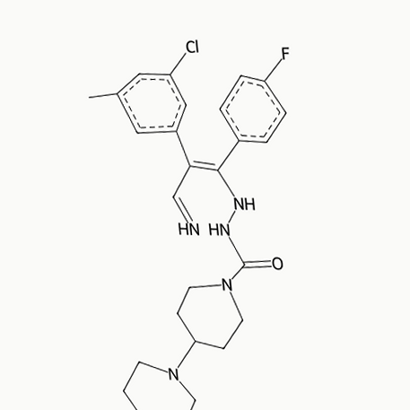 Cc1cc(Cl)cc(/C(C=N)=C(/NNC(=O)N2CCC(N3CCCCC3)CC2)c2ccc(F)cc2)c1